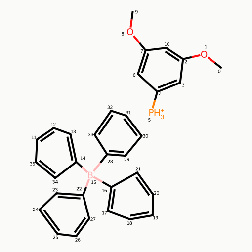 COc1cc([PH3+])cc(OC)c1.c1ccc([B-](c2ccccc2)(c2ccccc2)c2ccccc2)cc1